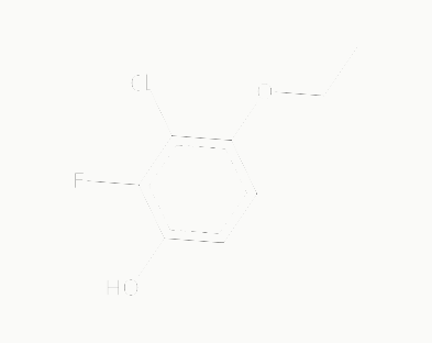 CCOc1ccc(O)c(F)c1Cl